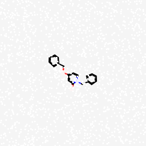 O=c1cc(OCc2ccccc2)ccn1Cc1ccccc1